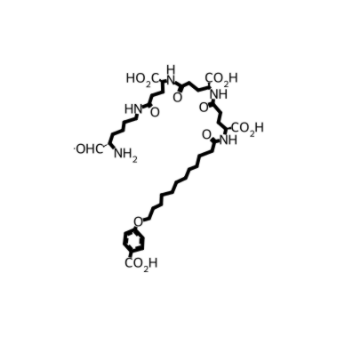 N[C@H]([C]=O)CCCCNC(=O)CC[C@H](NC(=O)CC[C@H](NC(=O)CC[C@H](NC(=O)CCCCCCCCCCCOc1ccc(C(=O)O)cc1)C(=O)O)C(=O)O)C(=O)O